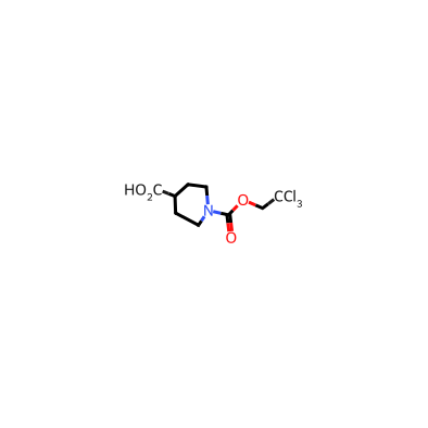 O=C(O)C1CCN(C(=O)OCC(Cl)(Cl)Cl)CC1